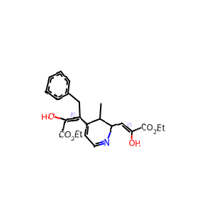 CCOC(=O)/C(O)=C/C1N=CC=C(/C(Cc2ccccc2)=C(/O)C(=O)OCC)C1C